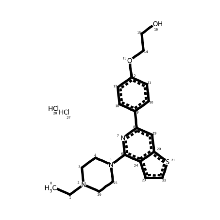 CCN1CCN(c2nc(-c3ccc(OCCO)cc3)cc3sccc23)CC1.Cl.Cl